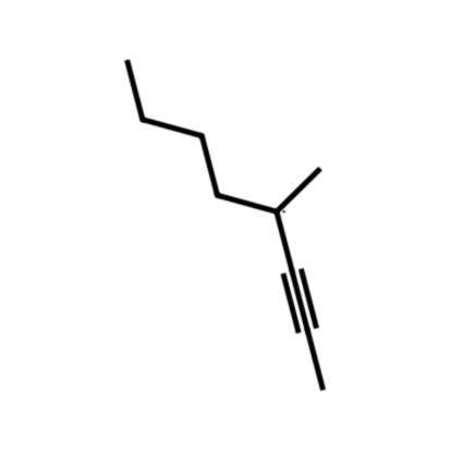 CC#C[C](C)CCCC